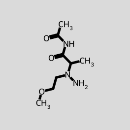 COCCN(N)C(C)C(=O)NC(C)=O